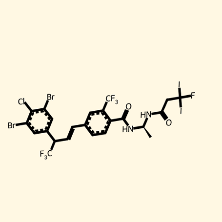 C[C@H](NC(=O)CC(F)(I)I)NC(=O)c1ccc(/C=C/C(c2cc(Br)c(Cl)c(Br)c2)C(F)(F)F)cc1C(F)(F)F